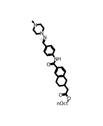 CCCCCCCCOC(=O)CC1CCc2cc(C(=O)Nc3ccc(/C=N/N4CCN(C)CC4)cc3)ccc2C1